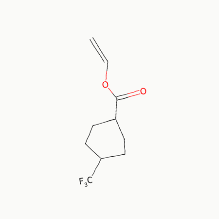 C=COC(=O)C1CCC(C(F)(F)F)CC1